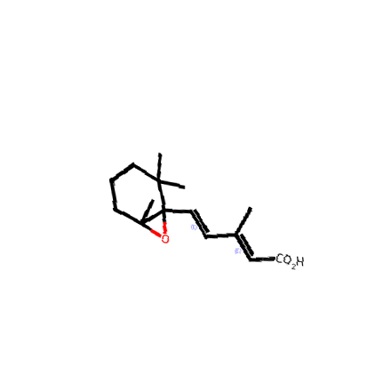 CC(/C=C/C12OC1(C)CCCC2(C)C)=C\C(=O)O